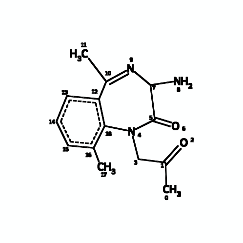 CC(=O)CN1C(=O)C(N)N=C(C)c2cccc(C)c21